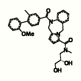 COc1ccccc1-c1ccc(C(=O)N2Cc3ccc(C(=O)N(C)C[C@H](O)CO)n3Cc3ccccc32)cc1C